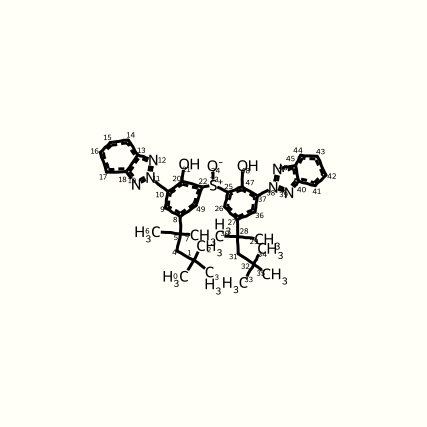 CC(C)(C)CC(C)(C)c1cc(-n2nc3ccccc3n2)c(O)c([S+]([O-])c2cc(C(C)(C)CC(C)(C)C)cc(-n3nc4ccccc4n3)c2O)c1